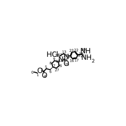 CCOC(=O)CC[C@H]1CC[C@H](N2CCN(c3ccc(C(=N)N)cc3)C2=O)CC1.Cl